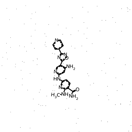 CNc1nc(Nc2cc(N)c(-c3nc(-c4ccncc4)no3)cn2)ccc1C(N)=O